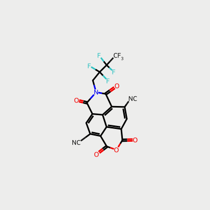 [C-]#[N+]c1cc2c3c(c(C#N)cc4c3c1C(=O)N(CC(F)(F)C(F)(F)C(F)(F)F)C4=O)C(=O)OC2=O